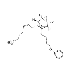 O=C(O)CCC/C=C\C[C@H]1[C@@H](CCCCOc2ccccc2)[C@@H]2O[C@H]1[C@@H]1O[C@@H]12